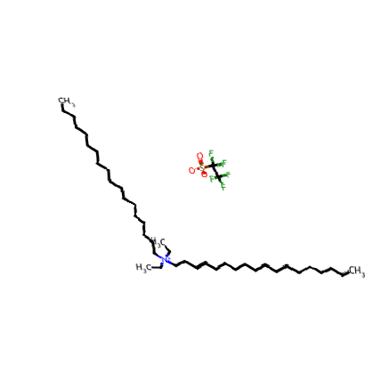 CCCCCCCCCCCCCCCCCC[N+](CC)(CC)CCCCCCCCCCCCCCCCCC.O=S(=O)([O-])C(F)(F)C(F)(F)F